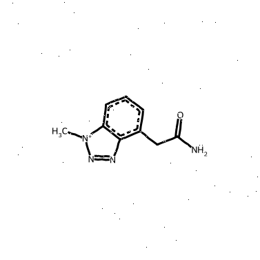 C[N+]1N=Nc2c(CC(N)=O)cccc21